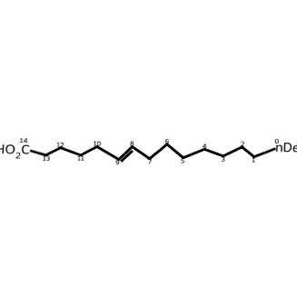 CCCCCCCCCCCCCCCCCC=CCCCCC(=O)O